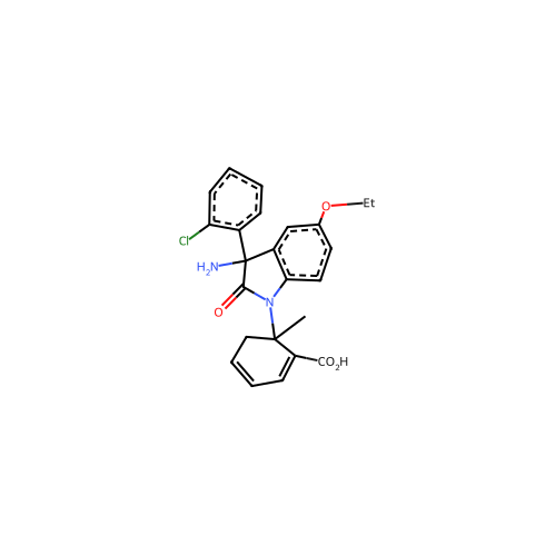 CCOc1ccc2c(c1)C(N)(c1ccccc1Cl)C(=O)N2C1(C)CC=CC=C1C(=O)O